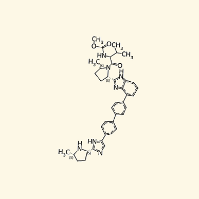 COC(=O)NC(C(=O)N1[C@@H](C)CC[C@H]1c1nc2c(-c3ccc(-c4ccc(-c5cnc([C@@H]6CC[C@H](C)N6)[nH]5)cc4)cc3)cccc2[nH]1)C(C)C